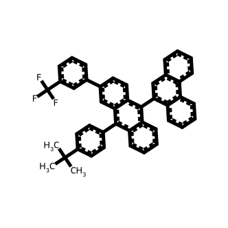 CC(C)(C)c1ccc(-c2c3ccccc3c(-c3cc4ccccc4c4ccccc34)c3ccc(-c4cccc(C(F)(F)F)c4)cc23)cc1